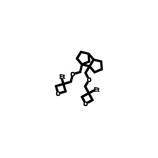 CCC1(COCC23CCC(C2)C2CCCC23COCC2(CC)COC2)COC1